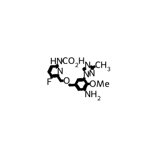 COc1c(N)cc(COCc2nc(NC(=O)O)ccc2F)cc1-n1cnc(C)n1